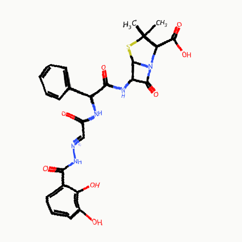 CC1(C)SC2C(NC(=O)C(NC(=O)/C=N/NC(=O)c3cccc(O)c3O)c3ccccc3)C(=O)N2C1C(=O)O